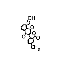 Cc1ccc2c3c(oc(=O)c2c1)C(=O)c1c(OCO)cccc1C3=O